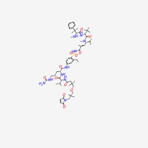 CCc1cc(NC(=O)[C@H](CCCNC(N)=O)NC(=O)C(NC(=O)CC(C)(C)COCC(C)(C)CN2C(=O)C=CC2=O)C(C)C)ccc1S(=O)(=O)NC(=O)/C(C)=C/[C@H](C(C)C)N(C)C(=O)C(NC(=O)[C@@H](NC)C(C)(C)c1ccccc1)C(C)(C)C